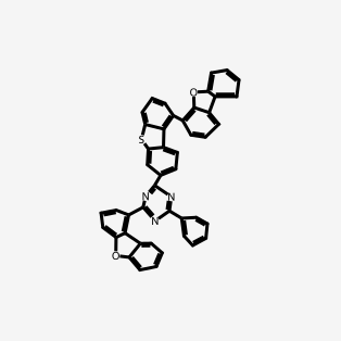 c1ccc(-c2nc(-c3ccc4c(c3)sc3cccc(-c5cccc6c5oc5ccccc56)c34)nc(-c3cccc4oc5ccccc5c34)n2)cc1